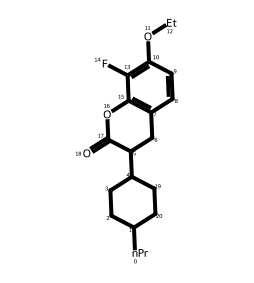 CCCC1CCC(C2Cc3ccc(OCC)c(F)c3OC2=O)CC1